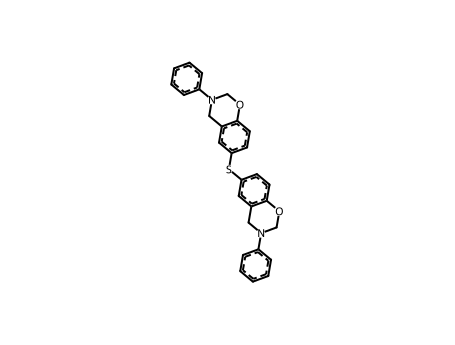 c1ccc(N2COc3ccc(Sc4ccc5c(c4)CN(c4ccccc4)CO5)cc3C2)cc1